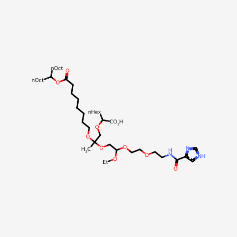 CCCCCCCCC(CCCCCCCC)OC(=O)CCCCCCCOC(C)(COC(CCCCCC)C(=O)O)OCC(OCC)OCCOCCNC(=O)c1c[nH]cn1